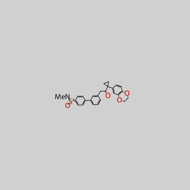 CN[S+]([O-])c1ccc(-c2cccc(CC(=O)C3(c4ccc5c(c4)OCCO5)CC3)c2)cc1